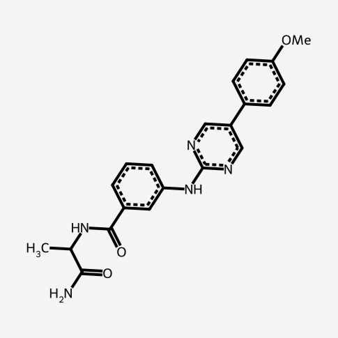 COc1ccc(-c2cnc(Nc3cccc(C(=O)NC(C)C(N)=O)c3)nc2)cc1